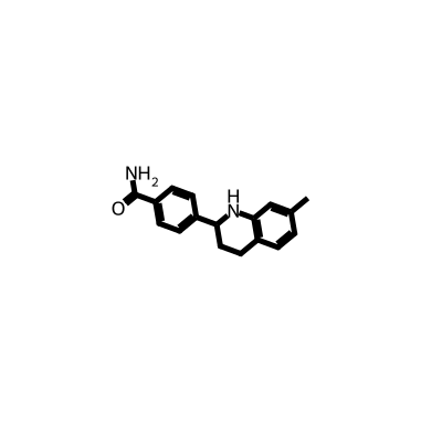 Cc1ccc2c(c1)NC(c1ccc(C(N)=O)cc1)CC2